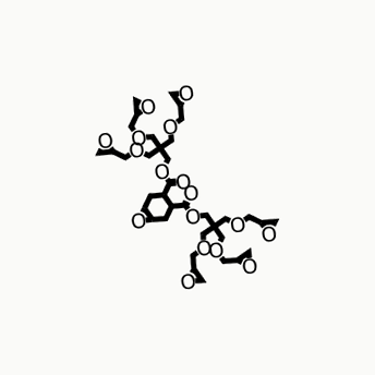 O=C(OCC(COCC1CO1)(COCC1CO1)COCC1CO1)C1CC2OC2CC1C(=O)OCC(COCC1CO1)(COCC1CO1)COCC1CO1